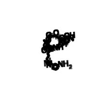 CC[C@H]1OC(=O)[C@H](C)C(=O)[C@H](C)[C@@H](O[C@@H]2O[C@H](C)CC(N(C)C)C2O)[C@](C)(OC)C[C@@H](C)N[C@H](C)[C@H]2N(CCCCn3cc(-c4cccc(N)c4)nn3)C(=O)O[C@]12C